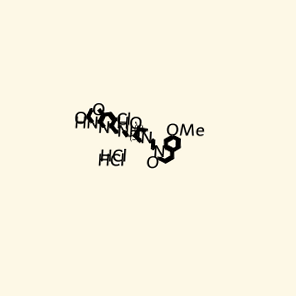 COc1ccc2ccc(=O)n(CCN3C[C@H](CNCc4nc5c(cc4Cl)OCC(=O)N5)[C@H](O)C3)c2c1.Cl.Cl